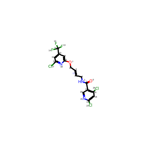 O=C(NC/C=C/COc1cc(C(F)(F)F)cc(Cl)n1)c1cnc(Cl)cc1Cl